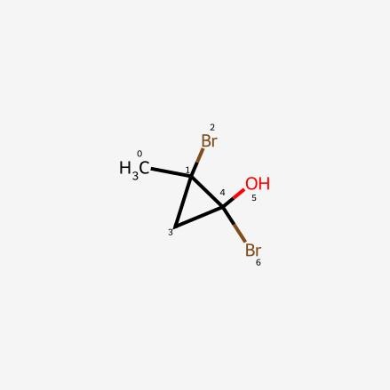 CC1(Br)CC1(O)Br